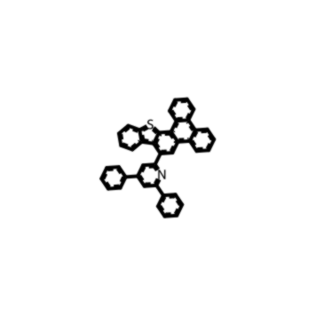 c1ccc(-c2cc(-c3ccccc3)nc(-c3cc4c5ccccc5c5ccccc5c4c4sc5ccccc5c34)c2)cc1